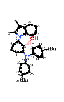 Cc1c(C)n(-c2cccc3c2B(O)c2cc(C(C)(C)C)ccc2N3c2ccc(C(C)(C)C)cc2)c2ccccc12